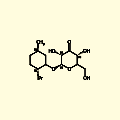 CC(C)[C@@H]1CC[C@@H](C)CC1O[C@@H]1OC(CO)[C@@H](O)C(=O)[C@H]1O